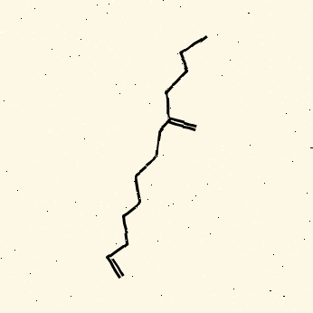 C=CCCCCCCC(=C)CCCC